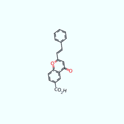 O=C(O)c1ccc2oc(C=Cc3ccccc3)cc(=O)c2c1